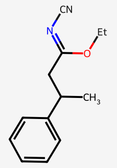 CCOC(CC(C)c1ccccc1)=NC#N